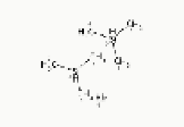 C[SiH](C)C.C[SiH](C)C.[Rh]